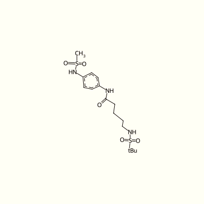 CC(C)(C)S(=O)(=O)NCCCCC(=O)Nc1ccc(NS(C)(=O)=O)cc1